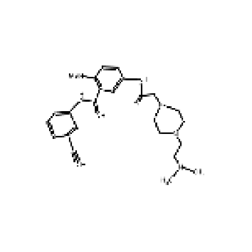 C#Cc1cccc(NC(=N)c2cc(NC(=O)CN3CCN(CCN(C)C)CC3)ccc2NC)c1